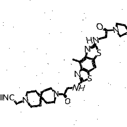 Cc1c2nc(NCC(=O)N3CCCC3)sc2cc2sc(NCC(=O)N3CCC4(CCN(CC#N)CC4)CC3)nc12